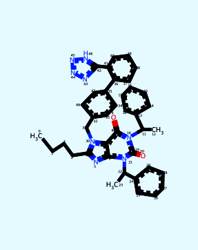 CCCCc1nc2c(c(=O)n(C(C)c3ccccc3)c(=O)n2C(C)c2ccccc2)n1Cc1ccc(-c2ccccc2-c2nnn[nH]2)cc1